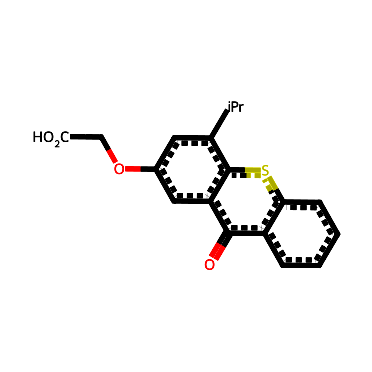 CC(C)c1cc(OCC(=O)O)cc2c(=O)c3ccccc3sc12